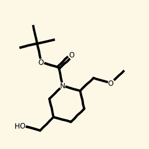 COCC1CCC(CO)CN1C(=O)OC(C)(C)C